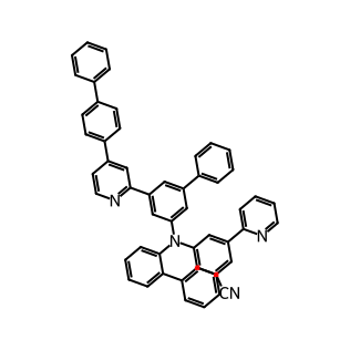 N#Cc1cc(-c2ccccn2)cc(N(c2cc(-c3ccccc3)cc(-c3cc(-c4ccc(-c5ccccc5)cc4)ccn3)c2)c2ccccc2-c2ccccc2)c1